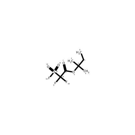 CCC(C)(C)OC(=O)C(F)(F)S(=O)(=O)F